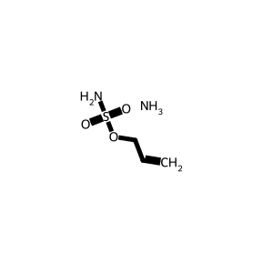 C=CCOS(N)(=O)=O.N